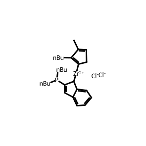 CCCCC1=[C]([Zr+2][CH]2C(P(CCCC)CCCC)=Cc3ccccc32)CC=C1C.[Cl-].[Cl-]